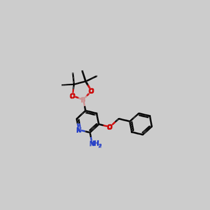 CC1(C)OB(c2cnc(N)c(OCc3ccccc3)c2)OC1(C)C